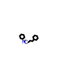 C(=CCCC1CCCCC1)=NC1CCCCC1